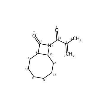 C=C(C)C(=O)N1C(=O)C2CCCCCCC21